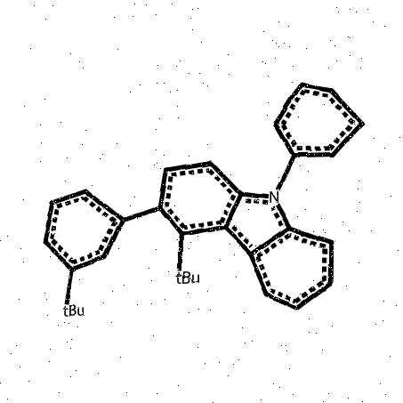 CC(C)(C)c1cccc(-c2ccc3c(c2C(C)(C)C)c2ccccc2n3-c2ccccc2)c1